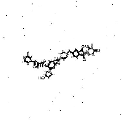 Cc1cc(-c2nc(C(=O)Nc3cc4oc(N5CCN(Cc6ccc7c(c6)C(=O)N(N6CCC(=O)NC6=O)C7=O)CC5)nc4nc3N3CC[C@@H](O)C3)co2)ccn1